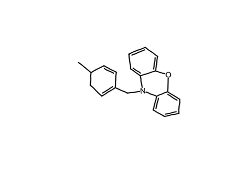 CC1C=CC(CN2c3ccccc3Oc3ccccc32)=CC1